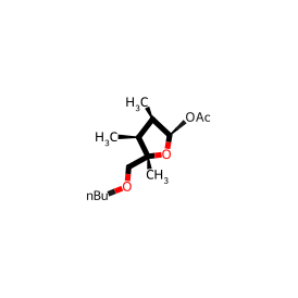 CCCCOC[C@@]1(C)O[C@H](OC(C)=O)[C@H](C)[C@@H]1C